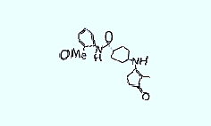 COc1ccccc1NC(=O)[C@H]1CC[C@H](NC2=C(C)C(=O)CC2)CC1